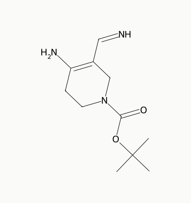 CC(C)(C)OC(=O)N1CCC(N)=C(C=N)C1